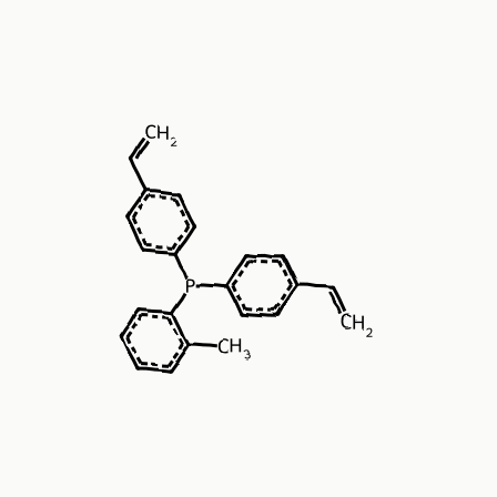 C=Cc1ccc(P(c2ccc(C=C)cc2)c2ccccc2C)cc1